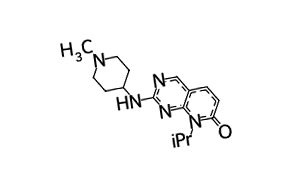 CC(C)n1c(=O)ccc2cnc(NC3CCN(C)CC3)nc21